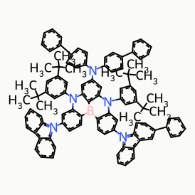 CC(C)(C)c1cc(N2c3cc(-n4c5ccccc5c5ccccc54)ccc3B3c4ccc(-n5c6ccccc6c6cc(-c7ccccc7)ccc65)cc4N(c4cc(C(C)(C)C)cc(C(C)(C)C)c4)c4cc(N(c5ccc(-c6ccccc6)cc5)c5ccc(-c6ccccc6)cc5)cc2c43)cc(C(C)(C)C)c1